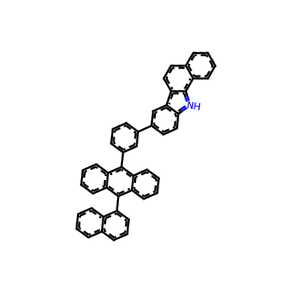 c1cc(-c2ccc3[nH]c4c5ccccc5ccc4c3c2)cc(-c2c3ccccc3c(-c3cccc4ccccc34)c3ccccc23)c1